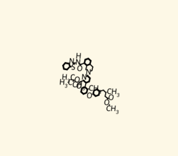 CCOC(=O)C[C@@H](C)Cc1ccc(Oc2cccc(-c3ccc(N4CCc5cccc(C(=O)Nc6nc7ccccc7s6)c5C4)nc3C(=O)OC(C)(C)C)c2C)cc1